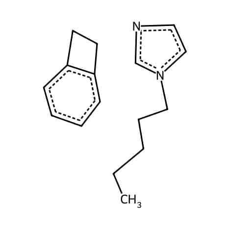 CCCCCn1ccnc1.c1ccc2c(c1)CC2